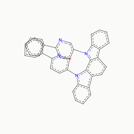 c1ccc(-c2ccc(-n3c4ccccc4c4ccc5c6ccccc6n(-c6ccc(-c7ccccc7)nc6)c5c43)cn2)cc1